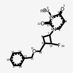 CCCCn1c(=O)ccn(C2CC(COCc3ccccc3)C2F)c1=O